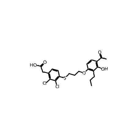 CCCc1c(OCCCSc2ccc(CC(=O)O)c(Cl)c2Cl)ccc(C(C)=O)c1O